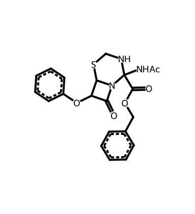 CC(=O)NC1(C(=O)OCc2ccccc2)NCSC2C(Oc3ccccc3)C(=O)N21